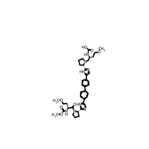 COCC[C@@H](CN1CCC[C@H]1c1ncc(-c2ccc(-c3ccc(-c4cnc([C@@H]5CCCN5C(=O)[C@H](CCOC)NC(=O)OC)[nH]4)cc3)cc2)[nH]1)NC(=O)O